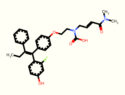 CCC(=C(c1ccc(OCCN(CC=CC(=O)N(C)C)C(=O)O)cc1)c1ccc(O)cc1F)c1ccccc1